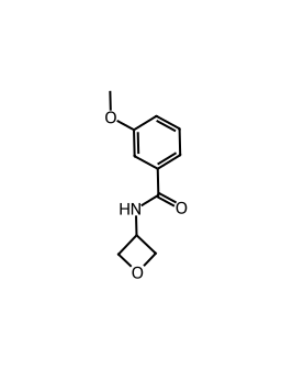 COc1cccc(C(=O)NC2COC2)c1